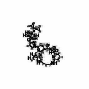 CC1(C)C[C@@H]2CCCNc3cccc(n3)S(=O)(=O)NC(=O)c3ccc(-n4ccc(OC(S)(S)C(S)(S)C5C6(CC6)C56CC6)n4)nc3N1C2